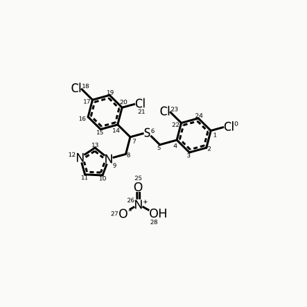 Clc1ccc(CSC(Cn2ccnc2)c2ccc(Cl)cc2Cl)c(Cl)c1.O=[N+]([O-])O